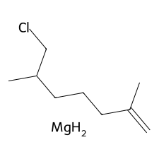 C=C(C)CCCC(C)CCl.[MgH2]